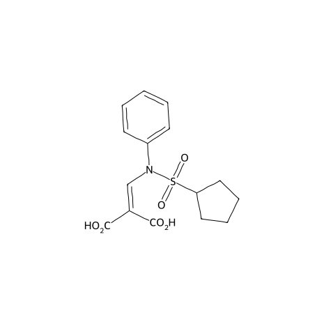 O=C(O)C(=CN(c1ccccc1)S(=O)(=O)C1CCCC1)C(=O)O